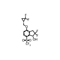 O=S(=O)(c1ccc(OC[C@H]2CC2(F)F)c2c1[C@H](O)C(F)(F)C2)C(F)(F)F